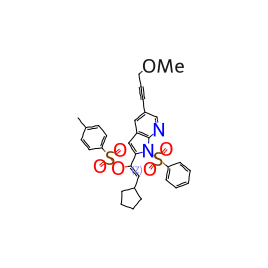 COCC#Cc1cnc2c(c1)cc(/C(=C/C1CCCC1)OS(=O)(=O)c1ccc(C)cc1)n2S(=O)(=O)c1ccccc1